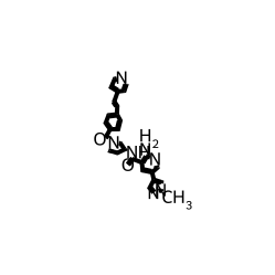 Cn1cc(-c2cnc(N)c(C(=O)N[C@@H]3CCN(C(=O)c4ccc(/C=C/c5ccncc5)cc4)C3)c2)cn1